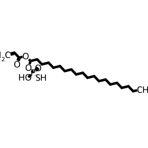 C=CC(=O)OC(CCCCCCCCCCCCCCCCCCC)OP(=O)(O)S